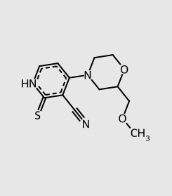 COCC1CN(c2cc[nH]c(=S)c2C#N)CCO1